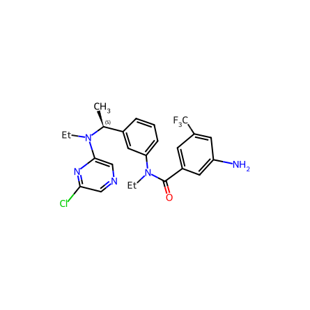 CCN(C(=O)c1cc(N)cc(C(F)(F)F)c1)c1cccc([C@H](C)N(CC)c2cncc(Cl)n2)c1